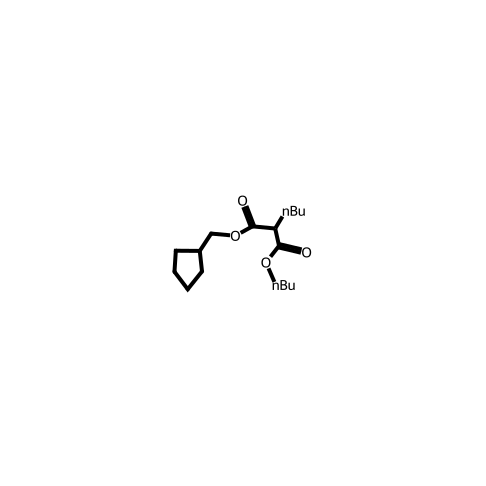 CCCCOC(=O)C(CCCC)C(=O)OCC1CCCC1